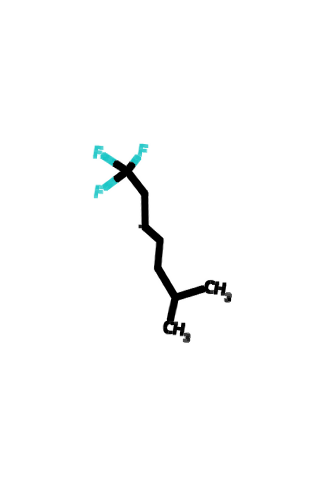 CC(C)CC[CH]CC(F)(F)F